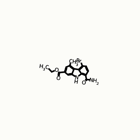 CCOC(=O)c1cc(C)c2c(c1)[nH]c1c(C(N)=O)ccc(Br)c12